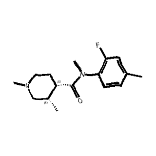 Cc1ccc(N(C)C(=O)[C@H]2CCN(C)C[C@H]2C)c(F)c1